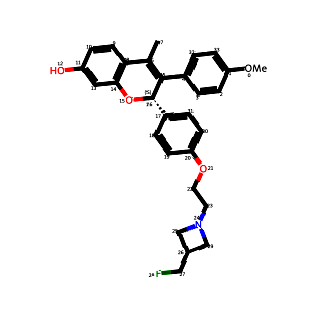 COc1ccc(C2=C(C)c3ccc(O)cc3O[C@H]2c2ccc(OCCN3CC(CF)C3)cc2)cc1